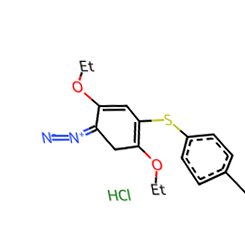 CCOC1=CC(Sc2ccc(C)cc2)=C(OCC)CC1=[N+]=[N-].Cl